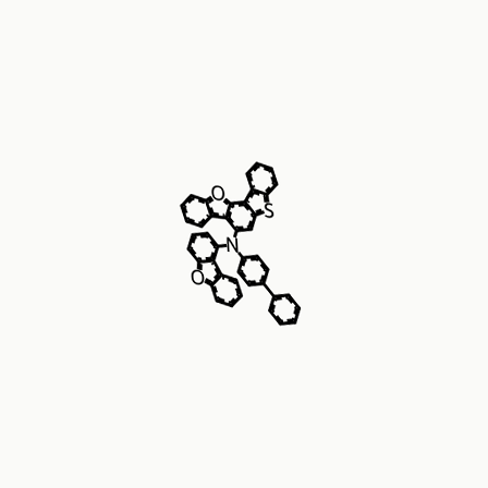 c1ccc(-c2ccc(N(c3cccc4oc5ccccc5c34)c3cc4sc5ccccc5c4c4oc5ccccc5c34)cc2)cc1